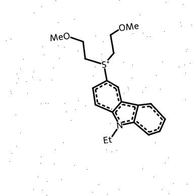 CCn1c2ccccc2c2cc([S+](CCOC)CCOC)ccc21